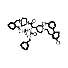 CSc1ccccc1CN1CCN(C(=O)[C@H](NC(=O)OCc2ccccc2)C2CCN(CCc3cc(Cl)ccc3-c3cccc(Cl)c3)CC2)CC1